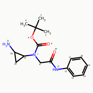 CC(C)(C)OC(=O)N(CC(=O)Nc1ccccc1)C1CC1N